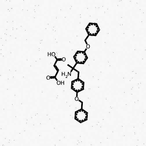 CC(N)(Cc1ccc(OCc2ccccc2)cc1)c1ccc(OCc2ccccc2)cc1.O=C(O)C=CC(=O)O